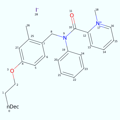 CCCCCCCCCCCCOc1ccc(CN(C(=O)c2cccc[n+]2C)c2ccccc2)c(C)c1.[I-]